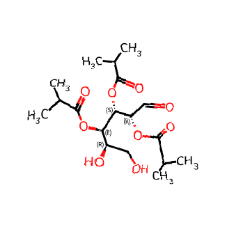 CC(C)C(=O)O[C@@H]([C@H](OC(=O)C(C)C)[C@H](C=O)OC(=O)C(C)C)[C@H](O)CO